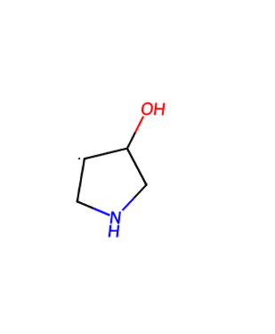 OC1[CH]CNC1